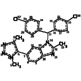 Cc1nnn(C)c1-c1ccc2nc(C)n(C(c3ccc(Cl)cc3)c3ccc(Cl)cc3)c2c1